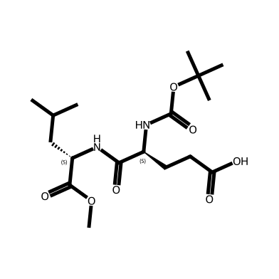 COC(=O)[C@H](CC(C)C)NC(=O)[C@H](CCC(=O)O)NC(=O)OC(C)(C)C